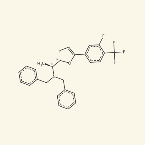 C[C@@H]([C@@H]1CC=C(c2ccc(C(F)(F)F)c(F)c2)O1)N(Cc1ccccc1)Cc1ccccc1